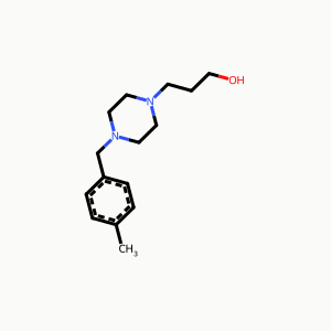 Cc1ccc(CN2CCN(CCCO)CC2)cc1